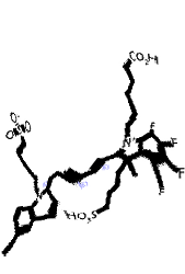 Cc1ccc2c(c1)C=C\C(=C/C=C/C=C/C1=[N+](CCCCCC(=O)O)c3c(F)c(F)c(F)c(F)c3C1(C)CCCCS(=O)(=O)O)N2CCCCS(=O)(=O)[O-]